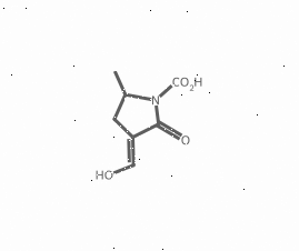 CC1CC(=CO)C(=O)N1C(=O)O